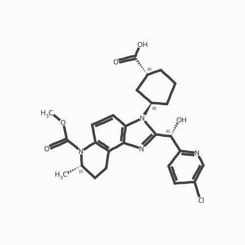 COC(=O)N1c2ccc3c(nc([C@H](O)c4ccc(Cl)cn4)n3[C@@H]3CCC[C@@H](C(=O)O)C3)c2CC[C@@H]1C